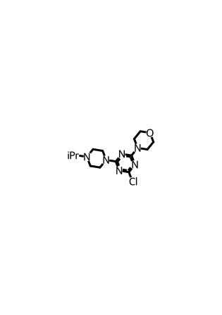 CC(C)N1CCN(c2nc(Cl)nc(N3CCOCC3)n2)CC1